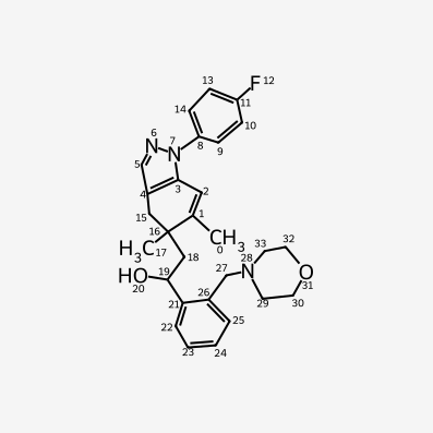 CC1=Cc2c(cnn2-c2ccc(F)cc2)CC1(C)CC(O)c1ccccc1CN1CCOCC1